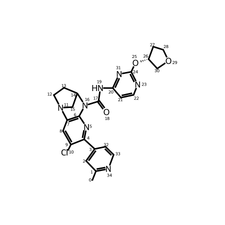 Cc1cc(-c2nc3c(cc2Cl)N2CCC(C2)N3C(=O)Nc2ccnc(O[C@@H]3CCOC3)n2)ccn1